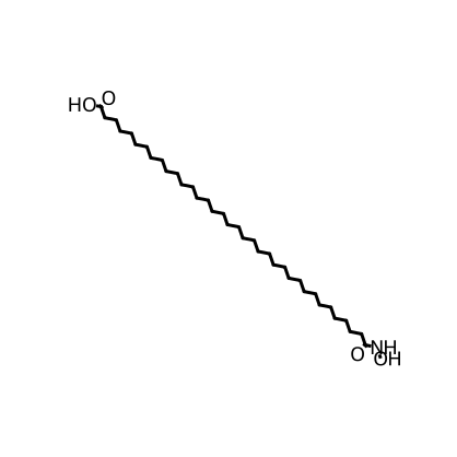 O=C(O)CCCCCCCCCCCCCCCCCCCCCCCCCCCCCCCCCCC(=O)NO